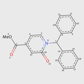 COC(=O)c1ccn(C(c2ccccc2)c2ccccc2)c(=O)c1